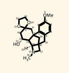 COc1ccc2c(c1)[C@@]13CC4(C[C@@H](O)C1[C@@H]1N(C)CC1(C2)C3)OCCO4